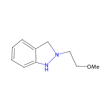 COCCN1Cc2ccccc2N1